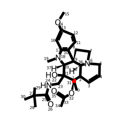 CC[C@]12C=CCN3CC[C@@]4(c5ccc(OC)cc5N(C)[C@H]4C(O)(CNC(=O)C(C)(C)C)[C@@H]1OC(C)=O)[C@@H]32